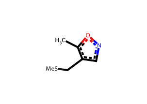 CSCc1cnoc1C